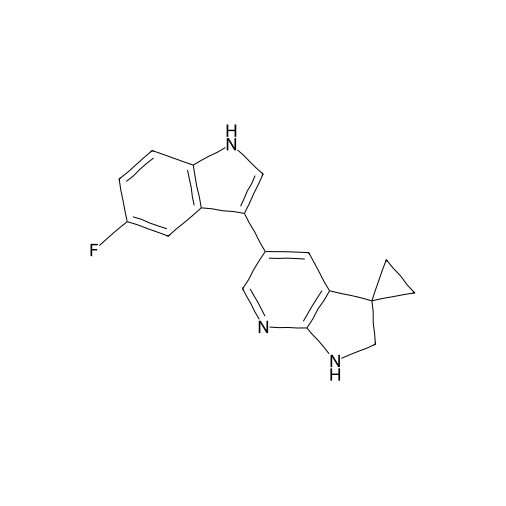 Fc1ccc2[nH]cc(-c3cnc4c(c3)C3(CC3)CN4)c2c1